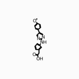 COc1ccc(-c2cnc(Nc3cccc(CC(=O)O)c3)nc2)cc1